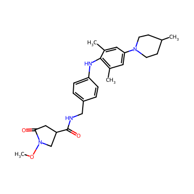 CON1CC(C(=O)NCc2ccc(Nc3c(C)cc(N4CCC(C)CC4)cc3C)cc2)CC1=O